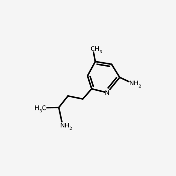 Cc1cc(N)nc(CCC(C)N)c1